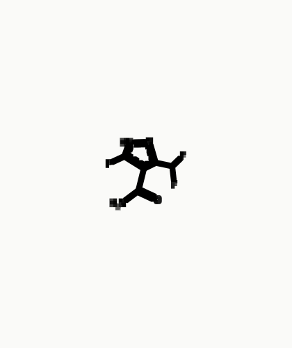 NC(=O)c1c(C(F)F)n[nH]c1F